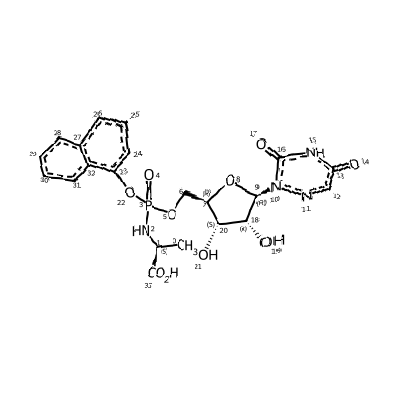 C[C@H](NP(=O)(OC[C@H]1O[C@@H](n2ncc(=O)[nH]c2=O)[C@H](O)[C@@H]1O)Oc1cccc2ccccc12)C(=O)O